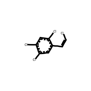 Cl/C=C\c1cc(Cl)c(Cl)cc1Cl